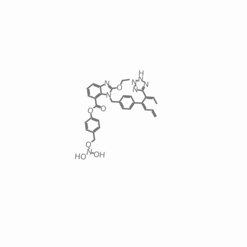 C=C/C=C(\C(=C/C)c1nn[nH]n1)c1ccc(Cn2c(OCC)nc3cccc(C(=O)Oc4ccc(CON(O)O)cc4)c32)cc1